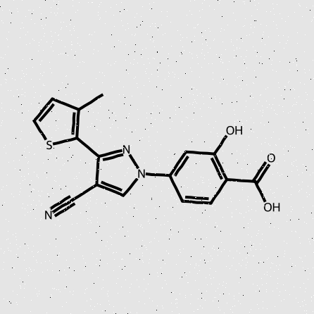 Cc1ccsc1-c1nn(-c2ccc(C(=O)O)c(O)c2)cc1C#N